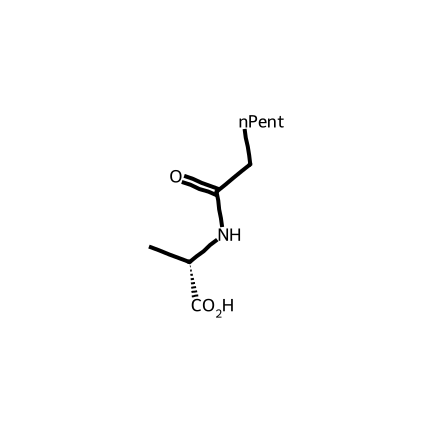 CCCCCCC(=O)N[C@@H](C)C(=O)O